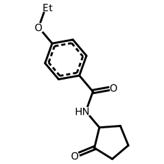 CCOc1ccc(C(=O)NC2CCCC2=O)cc1